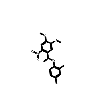 COc1cc(C(C)Oc2ccc(C)cc2C)c([N+](=O)[O-])cc1OC